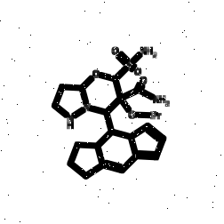 CC(C)OC1(C(N)=O)C(C2C3C=CC=C3C=C3CCCC32)N2NCCC2OC1S(N)(=O)=O